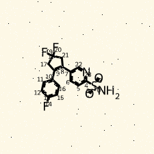 NS(=O)(=O)c1ccc(C2=C(c3ccc(F)cc3)CC(F)(F)C2)cn1